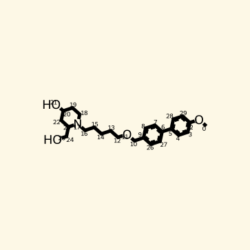 COc1ccc(-c2ccc(COCCCCCN3CCC(O)CC3CO)cc2)cc1